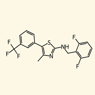 Cc1nc(NCc2c(F)cccc2F)sc1-c1cccc(C(F)(F)F)c1